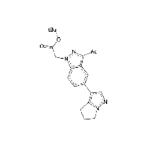 CC(=O)c1nn(CC(=O)OC(C)(C)C)c2ccc(-c3cnn4c3CCC4)cc12